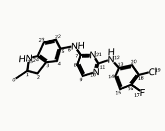 CC1Cc2cc(Nc3ccnc(Nc4ccc(F)c(Cl)c4)n3)ccc2N1